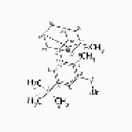 Cc1c(CBr)cc(C(C)(C)C)cc1C12CC3CC(CC(C)(C3)C1)C2